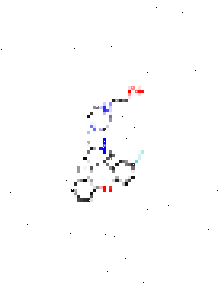 OCCN1CCN(C[C@H]2C[C@@H]3c4ccccc4Oc4ccc(F)cc4[C@H]3N2)CC1